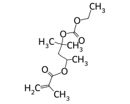 C=C(C)C(=O)OC(C)CC(C)(C)OC(=O)OCC